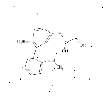 COc1ccccc1-c1cc(CC(O)CO)ccc1N